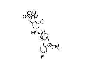 COc1cc(F)ccc1-c1ncnc(Nc2cc(Cl)cc(CS(C)(=O)=O)c2)n1